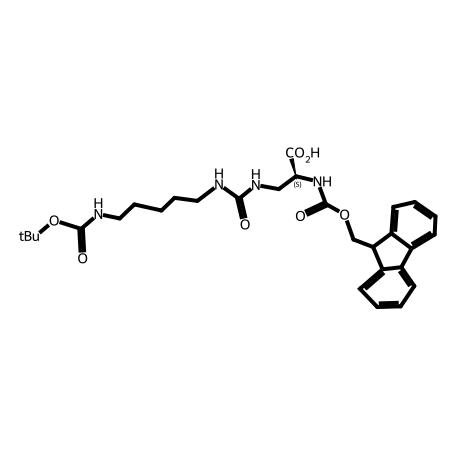 CC(C)(C)OC(=O)NCCCCCNC(=O)NC[C@H](NC(=O)OCC1c2ccccc2-c2ccccc21)C(=O)O